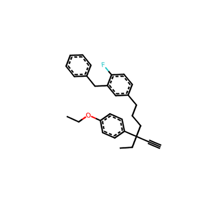 C#CC(CC)(CCCc1ccc(F)c(Cc2ccccc2)c1)c1ccc(OCC)cc1